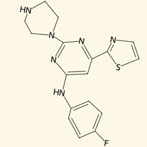 Fc1ccc(Nc2cc(-c3nccs3)nc(N3CCNCC3)n2)cc1